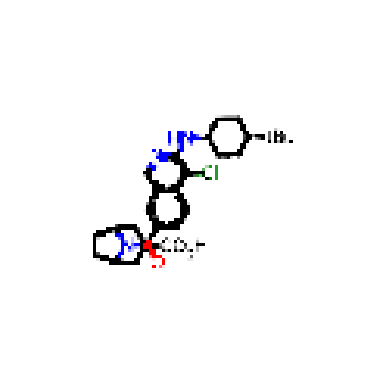 CC(C)(C)[C@H]1CC[C@@H](Nc2ncc3cc(C(=O)N4C5CCC4CC(C(=O)O)C5)ccc3c2Cl)CC1